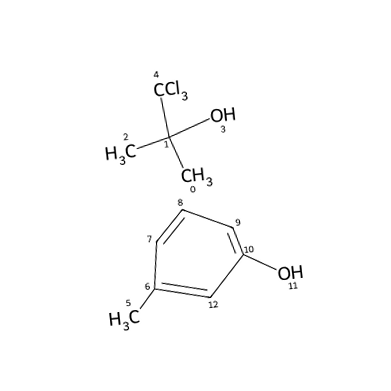 CC(C)(O)C(Cl)(Cl)Cl.Cc1cccc(O)c1